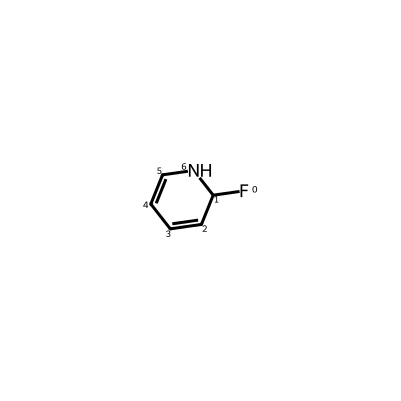 FC1C=CC=CN1